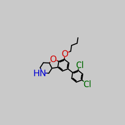 CCCCOc1cc(-c2ccc(Cl)cc2Cl)cc2c1OC1CCNCC21